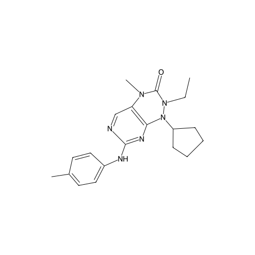 CCN1C(=O)N(C)c2cnc(Nc3ccc(C)cc3)nc2N1C1CCCC1